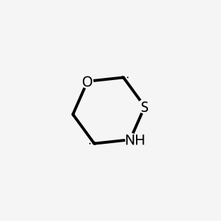 [CH]1CO[CH]SN1